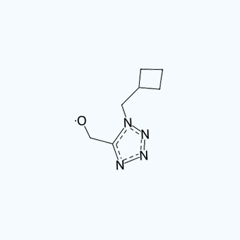 [O]Cc1nnnn1CC1CCC1